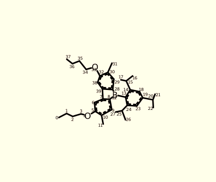 CCCCOc1cc2c(cc1C)B(c1c(C(C)C)cc(C(C)C)cc1C(C)C)c1cc(C)c(OCCCC)cc1-2